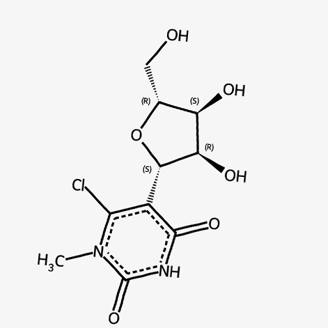 Cn1c(Cl)c([C@@H]2O[C@H](CO)[C@@H](O)[C@H]2O)c(=O)[nH]c1=O